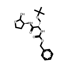 CC(C)(C)OC[C@H](NC(=O)OCc1ccccc1)C(=O)N[C@H]1CCOC1O